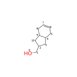 OCC1CC2CC=CCC2C1